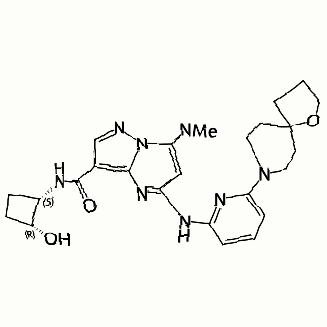 CNc1cc(Nc2cccc(N3CCC4(CCCO4)CC3)n2)nc2c(C(=O)N[C@H]3CC[C@H]3O)cnn12